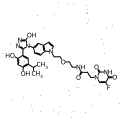 CC(C)c1cc(-c2nnc(O)n2-c2ccc3c(ccn3CCOCCNC(=O)CCn3cc(F)c(=O)[nH]c3=O)c2)c(O)cc1O